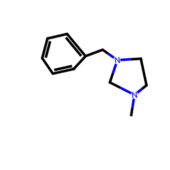 CN1CCN(Cc2ccccc2)C1